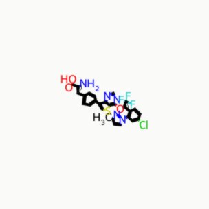 Cc1ccn(-c2cc(Cl)ccc2[C@@H](Oc2ncnc3c(-c4ccc(C[C@H](N)C(=O)O)cc4)csc23)C(F)(F)F)n1